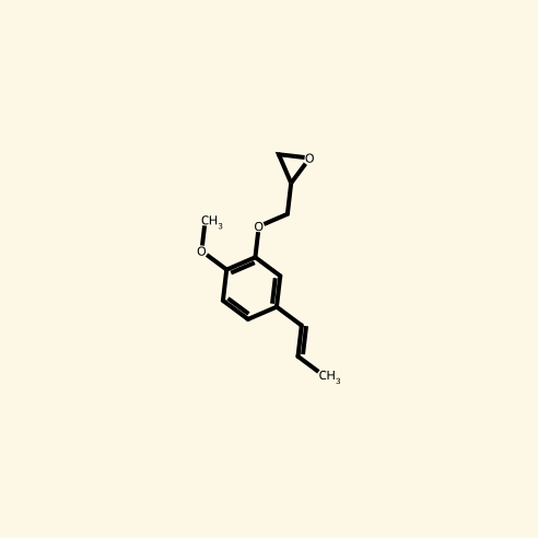 C/C=C/c1ccc(OC)c(OCC2CO2)c1